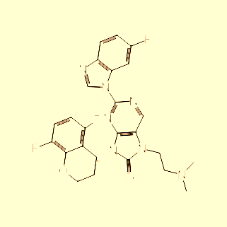 CN(C)CCn1c(=O)n([C@@H]2CCOc3c(F)ccc(F)c32)c2nc(-n3cnc4ccc(F)cc43)ncc21